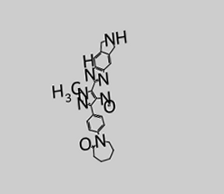 Cn1nc(-c2ccc(N3CCCCCC3=O)cc2)c(N=O)c1-c1nc2cc3c(cc2[nH]1)CNC3